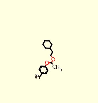 CC(OCCC1CCCCC1)Oc1ccc(C(C)C)cc1